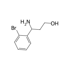 NC(CCO)c1ccccc1Br